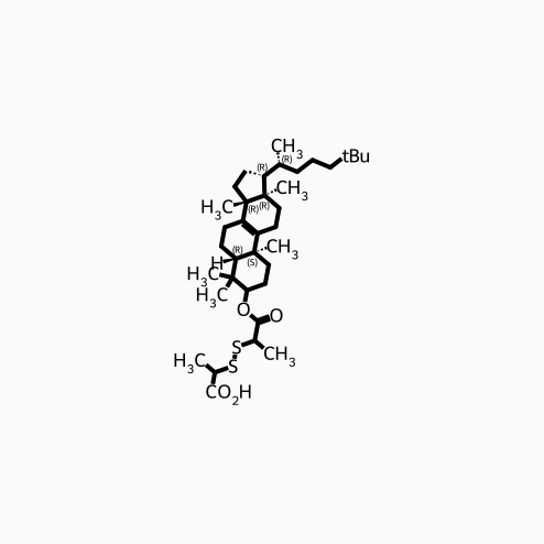 CC(SSC(C)C(=O)OC1CC[C@]2(C)C3=C(CC[C@H]2C1(C)C)[C@]1(C)CC[C@H]([C@H](C)CCCC(C)(C)C)[C@@]1(C)CC3)C(=O)O